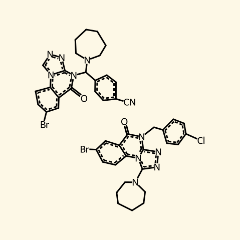 N#Cc1ccc(C(N2CCCCCC2)n2c(=O)c3cc(Br)ccc3n3cnnc23)cc1.O=c1c2cc(Br)ccc2n2c(N3CCCCCC3)nnc2n1Cc1ccc(Cl)cc1